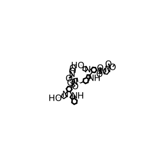 COC(=O)N1CCCN(S(=O)(=O)c2ccc(N3CC[C@H](O)C3)c(-c3cc4cc(C[C@H]5C[C@@H](C(=O)N6CCOCC6)N5S(=O)(=O)c5ccc(N6CC[C@H](O)C6)c(-c6cc7ccccc7[nH]6)c5)ccc4[nH]3)c2)C1